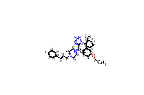 CCOc1ccc([C@H](c2nnnn2-c2c(C)cccc2C)N2CCN(C/C=C/c3ccccc3)CC2)cc1